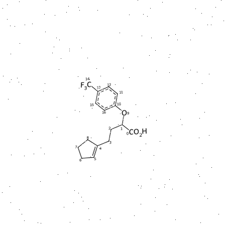 O=C(O)C(CCC1=CCCC1)Oc1ccc(C(F)(F)F)cc1